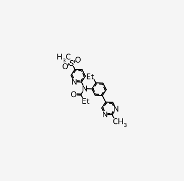 CCC(=O)N(c1ccc(S(C)(=O)=O)cn1)c1cc(-c2cnc(C)nc2)ccc1CC